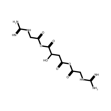 N=C(N)NCC(=O)OC(=O)CC(O)C(=O)OC(=O)CNC(=N)N